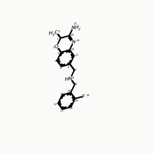 CC1Oc2ccc(CNCc3ccccc3F)cc2N=C1N